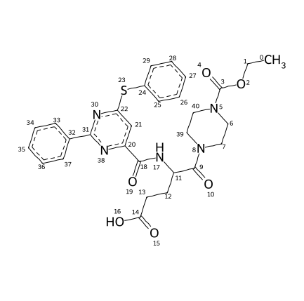 CCOC(=O)N1CCN(C(=O)C(CCC(=O)O)NC(=O)c2cc(Sc3ccccc3)nc(-c3ccccc3)n2)CC1